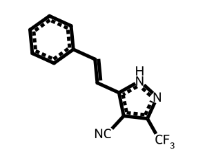 N#Cc1c(C(F)(F)F)n[nH]c1/C=C/c1ccccc1